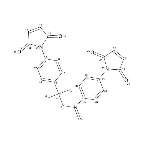 C=C(CC(C)(C)c1ccc(N2C(=O)C=CC2=O)cc1)c1ccc(N2C(=O)C=CC2=O)cc1